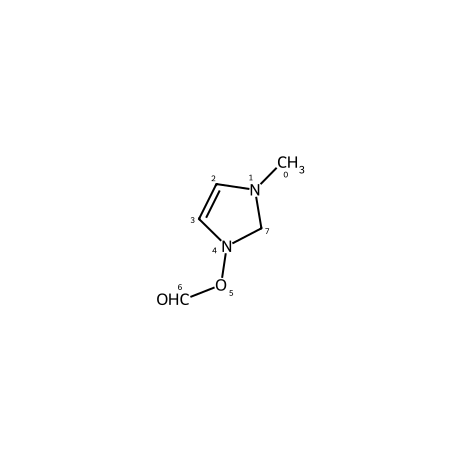 CN1C=CN(OC=O)C1